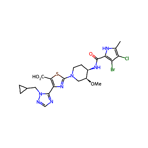 CO[C@H]1CN(c2nc(-c3ncnn3CC3CC3)c(C(=O)O)s2)CC[C@H]1NC(=O)c1[nH]c(C)c(Cl)c1Br